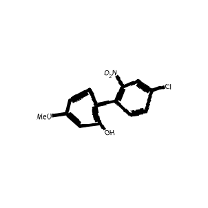 COc1ccc(-c2ccc(Cl)cc2[N+](=O)[O-])c(O)c1